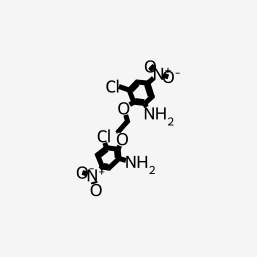 Nc1cc([N+](=O)[O-])cc(Cl)c1OCCOc1c(N)cc([N+](=O)[O-])cc1Cl